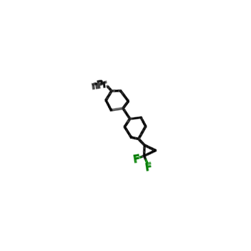 CCCC1CCC(C2CCC(C3CC3(F)F)CC2)CC1